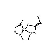 C/C=C(/C)O[Si](N(C)C)(N(C)C)N(C)C